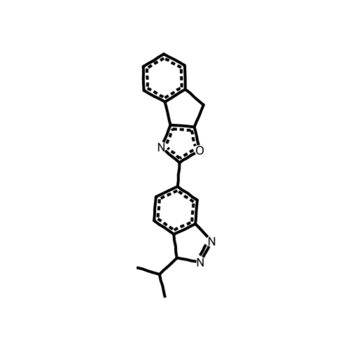 CC(C)C1N=Nc2cc(-c3nc4c(o3)Cc3ccccc3-4)ccc21